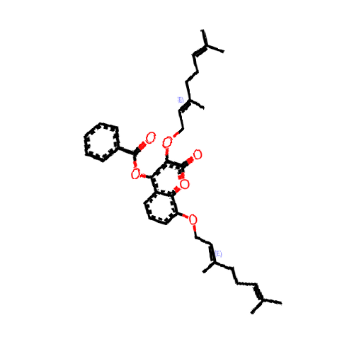 CC(C)=CCC/C(C)=C/COc1c(OC(=O)c2ccccc2)c2cccc(OC/C=C(\C)CCC=C(C)C)c2oc1=O